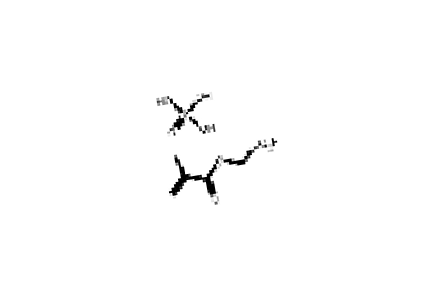 C=C(C)C(=O)OCC(=O)O.O=P(O)(O)O